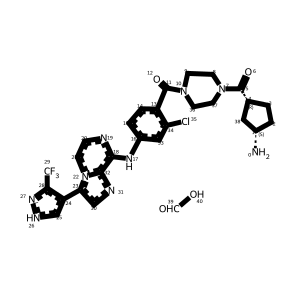 N[C@H]1CC[C@@H](C(=O)N2CCN(C(=O)c3ccc(Nc4nccn5c(-c6c[nH]nc6C(F)(F)F)cnc45)cc3Cl)CC2)C1.O=CO